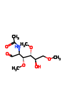 COC[C@@H](O)[C@@H](OC)[C@H](OC)[C@@H](C=O)NC(C)=O